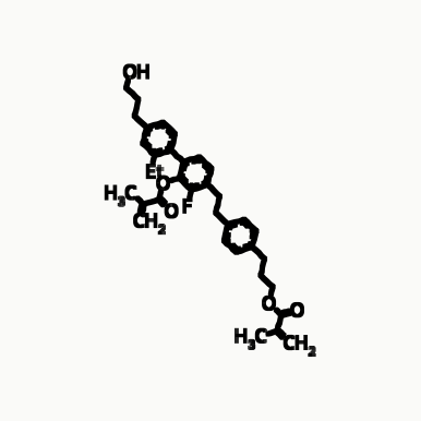 C=C(C)C(=O)OCCCc1ccc(CCc2ccc(-c3ccc(CCCO)cc3CC)c(OC(=O)C(=C)C)c2F)cc1